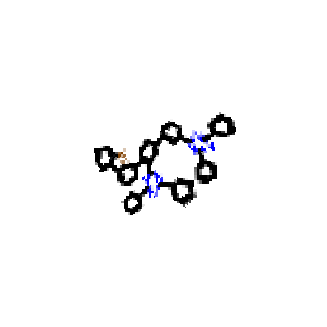 c1ccc(-c2nc(-c3ccccc3)nc(-c3cccc(-c4ccc(-c5cccc6c5sc5ccccc56)c(-c5nc(-c6ccccc6)nc(-c6ccccc6)n5)c4)c3)n2)cc1